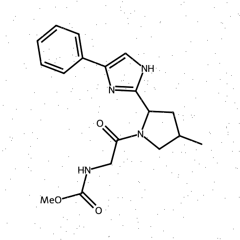 COC(=O)NCC(=O)N1CC(C)CC1c1nc(-c2ccccc2)c[nH]1